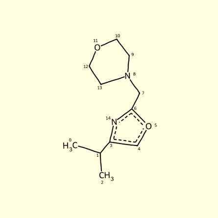 CC(C)c1coc(CN2CCOCC2)n1